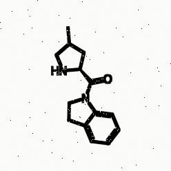 CC1CN[C@H](C(=O)N2CCc3ccccc32)C1